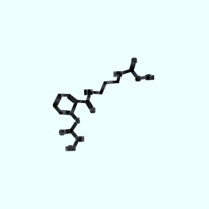 CCCCNC(=O)Sc1ccccc1C(=O)NCCCNC(=O)OC(C)(C)C